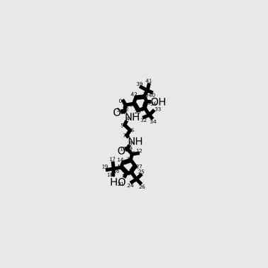 CC(C(=O)NCCCNC(=O)C(C)c1cc(C(C)(C)C)c(O)c(C(C)(C)C)c1)c1cc(C(C)(C)C)c(O)c(C(C)(C)C)c1